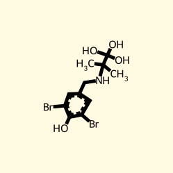 CC(C)(NCc1cc(Br)c(O)c(Br)c1)C(O)(O)O